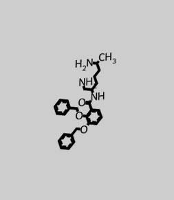 CC(N)CCCC(CN)NC(=O)c1cccc(OCc2ccccc2)c1OCc1ccccc1